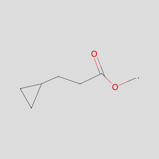 [CH2]OC(=O)CCC1CC1